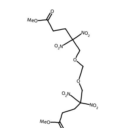 COC(=O)CCC(COCOCC(CCC(=O)OC)([N+](=O)[O-])[N+](=O)[O-])([N+](=O)[O-])[N+](=O)[O-]